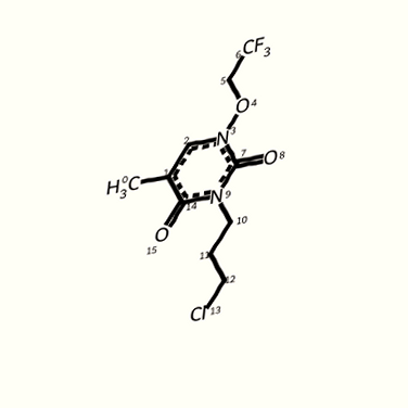 Cc1cn(OCC(F)(F)F)c(=O)n(CCCCl)c1=O